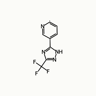 FC(F)(F)c1n[nH]c(-c2cc[c]nc2)n1